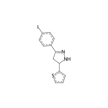 Ic1ccc(C2=NNC(c3cccs3)C2)cc1